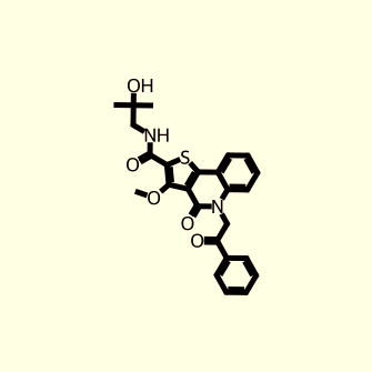 COc1c(C(=O)NCC(C)(C)O)sc2c1c(=O)n(CC(=O)c1ccccc1)c1ccccc21